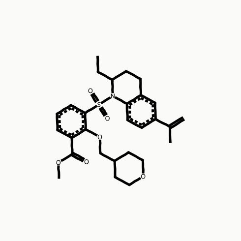 C=C(C)c1ccc2c(c1)CCC(CC)N2S(=O)(=O)c1cccc(C(=O)OC)c1OCC1CCOCC1